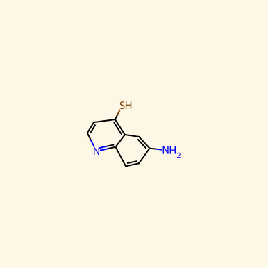 Nc1ccc2nccc(S)c2c1